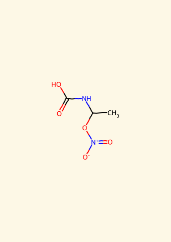 CC(NC(=O)O)O[N+](=O)[O-]